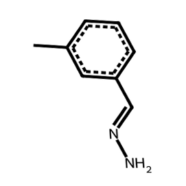 Cc1cccc(C=NN)c1